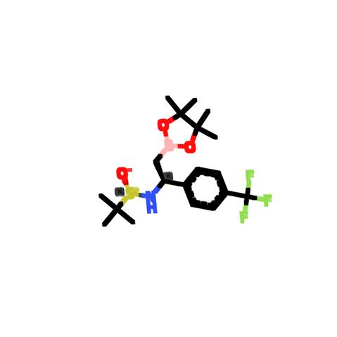 CC(C)(C)[S@@+]([O-])N[C@@H](CB1OC(C)(C)C(C)(C)O1)c1ccc(C(F)(F)F)cc1